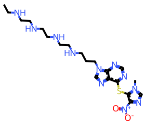 CCNCCNCCNCCNCCCn1cnc2c(Sc3c([N+](=O)[O-])ncn3C)ncnc21